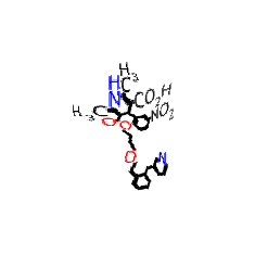 CC1=C(C(=O)O)C(c2cccc([N+](=O)[O-])c2)C(C(=O)OCCCCOCCc2ccccc2Cc2cccnc2)=C(C)N1